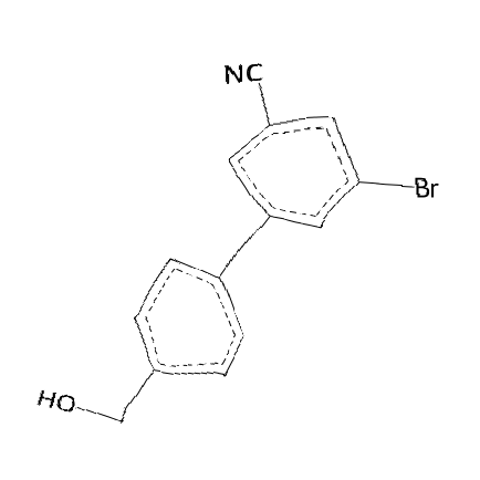 N#Cc1cc(Br)cc(-c2ccc(CO)cc2)c1